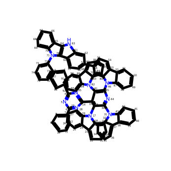 c1ccc(-c2nc(-c3ccccc3)nc(-c3c(-n4c5ccccc5c5ccccc54)c(-n4c5ccccc5c5ccccc54)nc(-n4c5ccccc5c5ccc(-c6ccc7c(c6)[nH]c6c8ccccc8n(-c8ccccc8)c76)cc54)c3-n3c4ccccc4c4ccccc43)n2)cc1